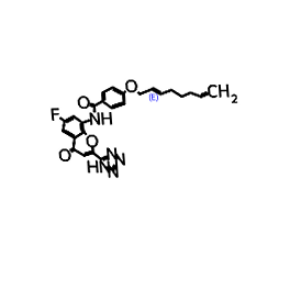 C=CCCC/C=C/COc1ccc(C(=O)Nc2cc(F)cc3c(=O)cc(-c4nnn[nH]4)oc23)cc1